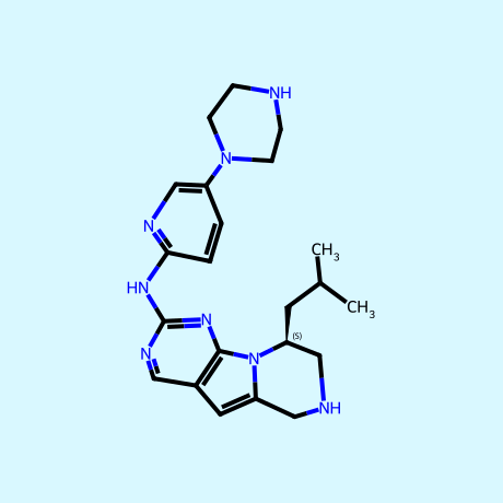 CC(C)C[C@H]1CNCc2cc3cnc(Nc4ccc(N5CCNCC5)cn4)nc3n21